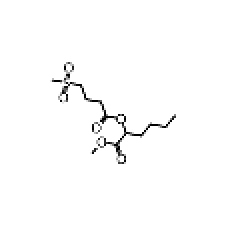 CCCCC(OC(=O)CCCS(C)(=O)=O)C(=O)OC